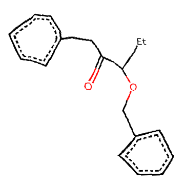 CCC(OCc1ccccc1)C(=O)Cc1ccccc1